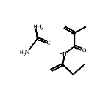 C=C(CC)NC(=O)C(=C)C.NC(N)=O